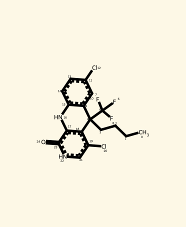 CCCCC1(C(F)(F)F)c2cc(Cl)ccc2Nc2c1c(Cl)c[nH]c2=O